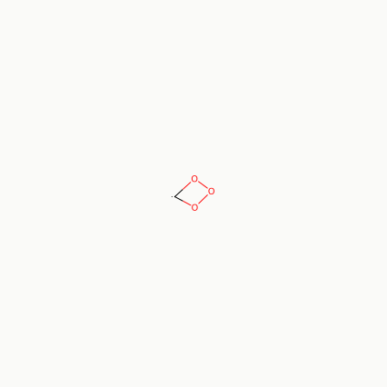 [CH]1OOO1